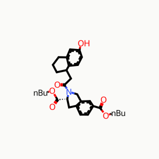 CCCCOC(=O)c1ccc2c(c1)CN(C(=O)CC1CCCc3cc(O)ccc31)[C@@H](C(=O)OCCCC)C2